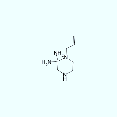 C=CCN1CCNCC1(N)N